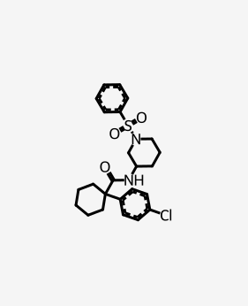 O=C(NC1CCCN(S(=O)(=O)c2ccccc2)C1)C1(c2ccc(Cl)cc2)CCCCC1